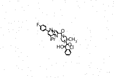 CC(C)c1cc(-c2ccc(F)cc2)nn2cc(C(=O)N3CCN(C(=O)[C@H](O)c4ccccc4Cl)[C@@H](C)C3)nc12